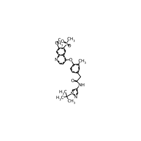 COc1cc2nccc(Oc3ccc(CC(=O)Nc4cnn(C(C)(C)C)c4)cc3C)c2cc1S(C)(=O)=O